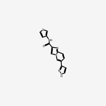 O=C(Nc1ccsc1)c1cn2cc(-c3cc[nH]n3)ccc2n1